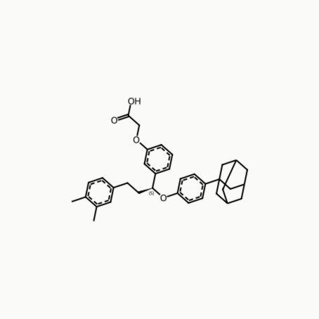 Cc1ccc(CC[C@H](Oc2ccc(C34CC5CC(CC(C5)C3)C4)cc2)c2cccc(OCC(=O)O)c2)cc1C